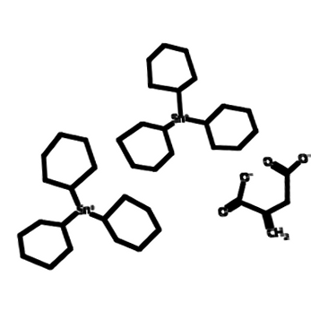 C1CC[CH]([Sn+]([CH]2CCCCC2)[CH]2CCCCC2)CC1.C1CC[CH]([Sn+]([CH]2CCCCC2)[CH]2CCCCC2)CC1.C=C(CC(=O)[O-])C(=O)[O-]